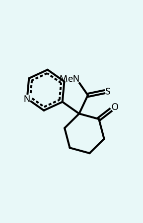 CNC(=S)C1(c2cccnc2)CCCCC1=O